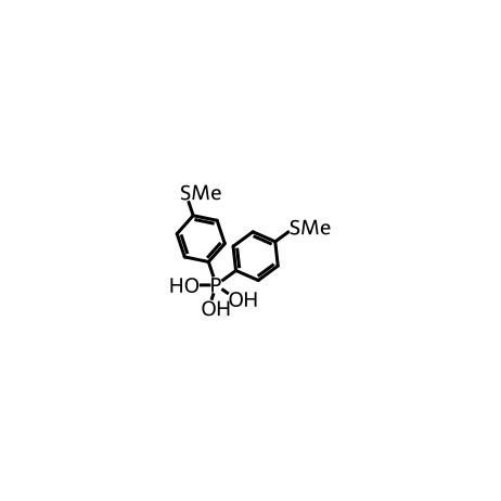 CSc1ccc(P(O)(O)(O)c2ccc(SC)cc2)cc1